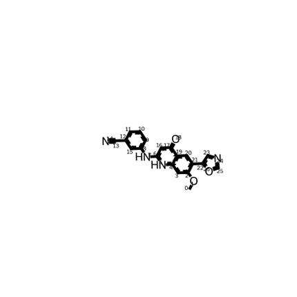 COc1cc2[nH]c(Nc3cccc(C#N)c3)cc(=O)c2cc1-c1cnco1